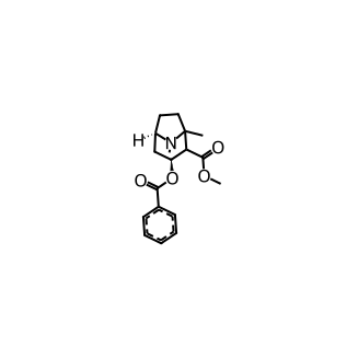 COC(=O)C1[C@@H](OC(=O)c2ccccc2)C[C@H]2CCC1(C)N2C